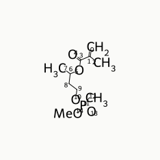 C=C(C)C(=O)OC(C)CCOP(C)(=O)OC